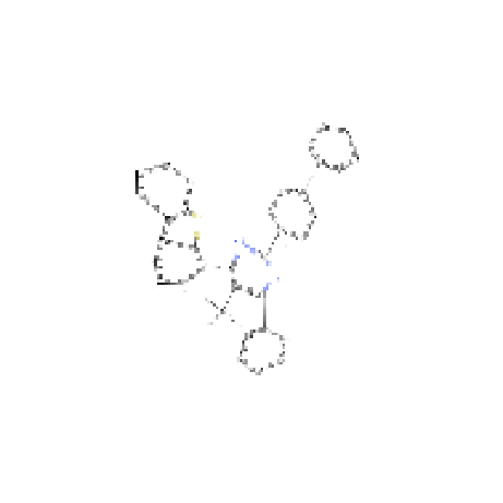 CC1(C)c2ccccc2-c2nc(-c3ccc(-c4ccccc4)cc3)nc(-c3cccc4c3sc3ccccc34)c21